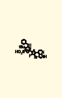 CC(C)(C)C(NC(=O)O)C(Cc1ccccc1)NC(=O)c1sc(-c2ccnc3[nH]ccc23)c(Br)c1F